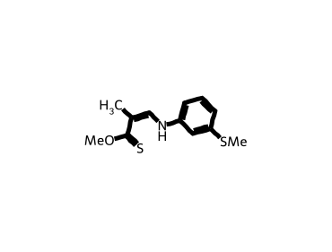 COC(=S)C(C)=CNc1cccc(SC)c1